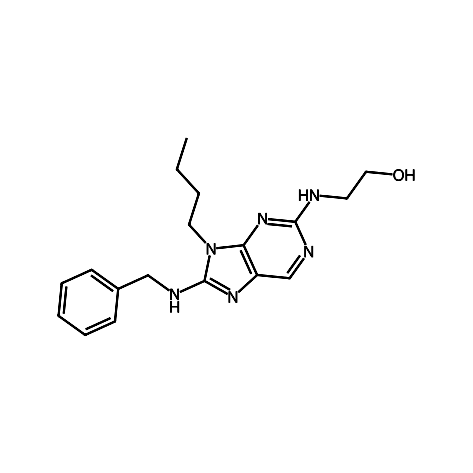 CCCCn1c(NCc2ccccc2)nc2cnc(NCCO)nc21